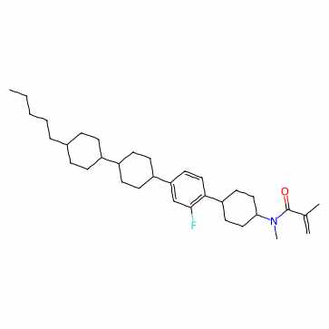 C=C(C)C(=O)N(C)C1CCC(c2ccc(C3CCC(C4CCC(CCCCC)CC4)CC3)cc2F)CC1